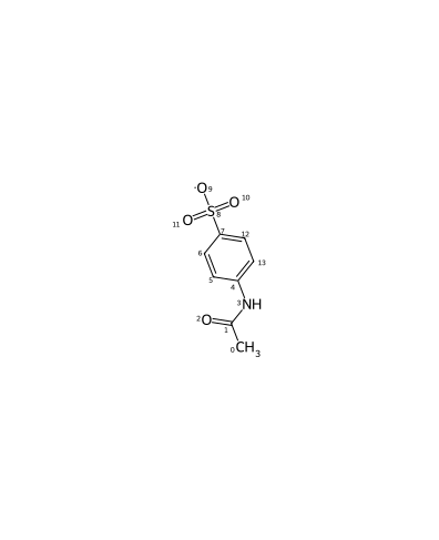 CC(=O)Nc1ccc(S([O])(=O)=O)cc1